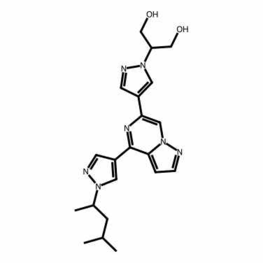 CC(C)CC(C)n1cc(-c2nc(-c3cnn(C(CO)CO)c3)cn3nccc23)cn1